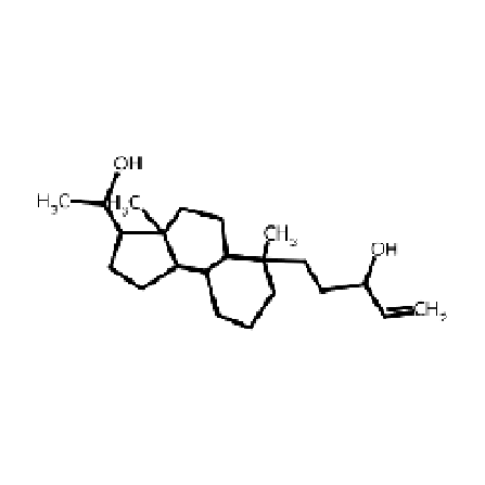 C=CC(O)CCC1(C)CCCC2C1CCC1(C)C(C(C)O)CCC21